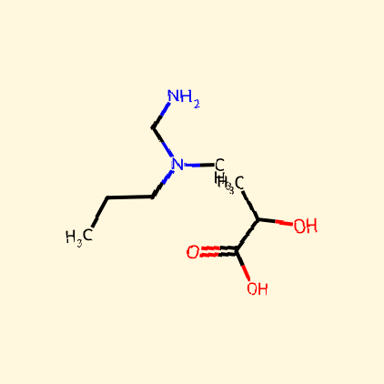 CC(O)C(=O)O.CCCN(C)CN